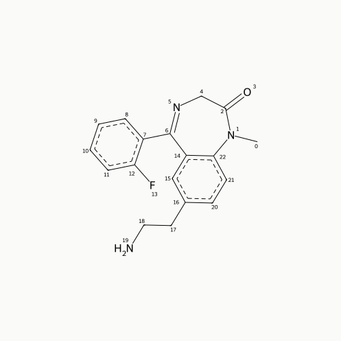 CN1C(=O)CN=C(c2ccccc2F)c2cc(CCN)ccc21